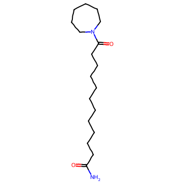 NC(=O)CCCCCCCCCCC(=O)N1CCCCCC1